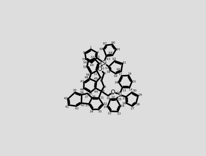 c1ccc([Si](OCCCC(CO[Si](c2ccccc2)(c2ccccc2)c2ccccc2)(c2cccc3c2Cc2ccccc2-3)c2cccc3c2Cc2ccccc2-3)(c2ccccc2)c2ccccc2)cc1